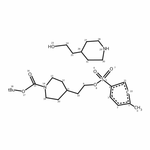 Cc1ccc(S(=O)(=O)OCCC2CCN(C(=O)OC(C)(C)C)CC2)cc1.OCCC1CCNCC1